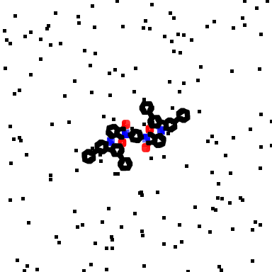 O=C1c2cccc(-n3c4ccc(-c5ccccc5)cc4c4cc(-c5ccccc5)ccc43)c2C(=O)N1c1ccc(N2C(=O)c3cccc(-n4c5ccc(-c6ccccc6)cc5c5cc(-c6ccccc6)ccc54)c3C2=O)cc1